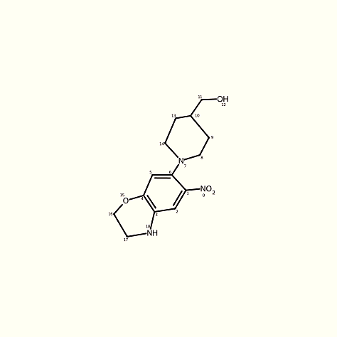 O=[N+]([O-])c1cc2c(cc1N1CCC(CO)CC1)OCCN2